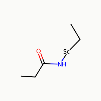 C[CH2][Sc][NH]C(=O)CC